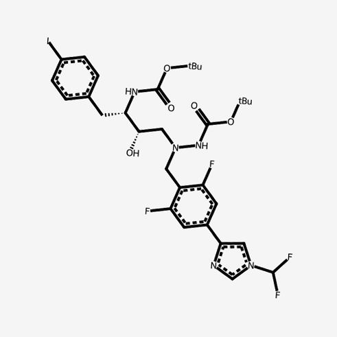 CC(C)(C)OC(=O)N[C@@H](Cc1ccc(I)cc1)[C@@H](O)CN(Cc1c(F)cc(-c2cn(C(F)F)cn2)cc1F)NC(=O)OC(C)(C)C